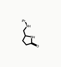 CC(C)NCC1CCC(=O)N1